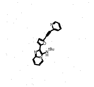 CC(C)(C)Nc1c(-c2ccc(C#Cc3ccccn3)o2)nc2ccccn12